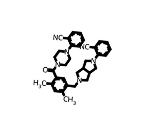 Cc1cc(C)c(C(=O)N2CCN(c3ccccc3C#N)CC2)cc1CN1CC2CN(c3ccccc3C#N)CC2C1